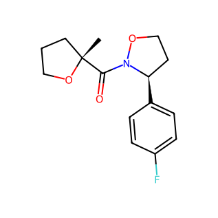 C[C@]1(C(=O)N2OCC[C@H]2c2ccc(F)cc2)CCCO1